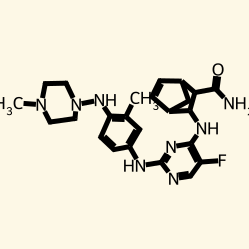 Cc1cc(Nc2ncc(F)c(NC3C4C=CC(C4)C3C(N)=O)n2)ccc1NN1CCN(C)CC1